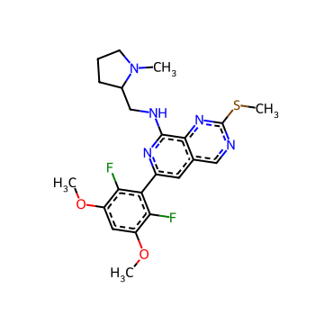 COc1cc(OC)c(F)c(-c2cc3cnc(SC)nc3c(NCC3CCCN3C)n2)c1F